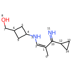 C/C(=C/NC1CC(CO)C1)C(=N)C1CC1